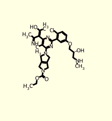 CCOC(=O)N1CC2=C(C1)CN(c1nc(-c3cc(OC[C@H](O)CNC)ccc3Cl)nc(/C(C(C)=N)=C(\C)O)c1C)C2